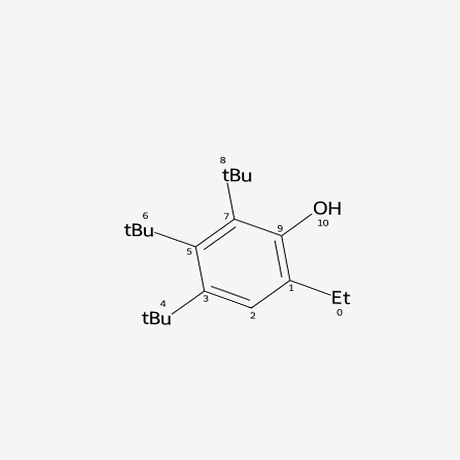 CCc1cc(C(C)(C)C)c(C(C)(C)C)c(C(C)(C)C)c1O